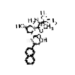 CC(C)(C)[C@H](N)C(=O)N1C[C@H](O)C[C@H]1C(=O)N[C@@H](CO)c1ccc2ccccc2c1